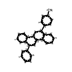 N#Cc1ccc(-c2cc3c4ccccc4c(-c4ccccc4)cc3c3ccccc23)cc1